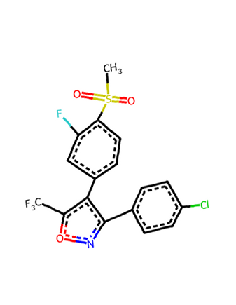 CS(=O)(=O)c1ccc(-c2c(-c3ccc(Cl)cc3)noc2C(F)(F)F)cc1F